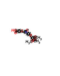 COc1cc(COc2ccc(N3CC(COc4ccc(C(=O)O)cc4)CC3=O)cc2)cc(OC)c1OC